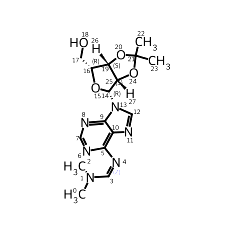 CN(C)/C=N\c1ncnc2c1ncn2[C@@H]1O[C@H](CO)[C@@H]2OC(C)(C)O[C@@H]21